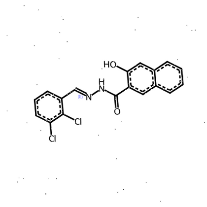 O=C(N/N=C/c1cccc(Cl)c1Cl)c1cc2ccccc2cc1O